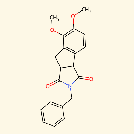 COc1ccc2c(c1OC)CC1C(=O)N(Cc3ccccc3)C(=O)C21